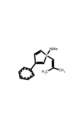 CNS1(C=C(C)C)C=CC(c2ccccc2)=C1